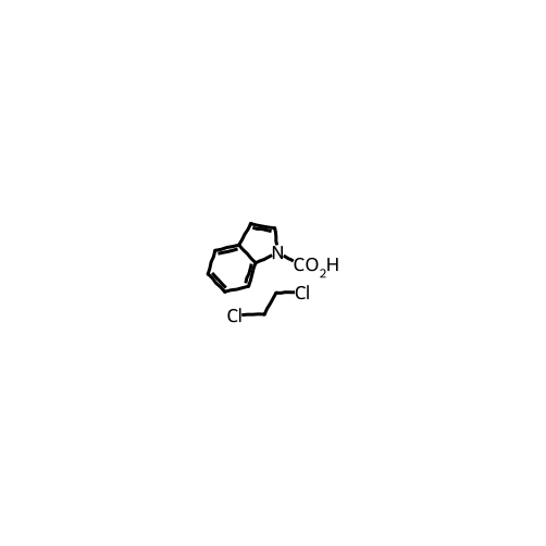 ClCCCl.O=C(O)n1ccc2ccccc21